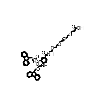 O=C(O)CCOCCOCCOCCOCCNC(=O)c1ccc(NC(=O)OCC2c3ccccc3-c3ccccc32)c(NC(=O)OCC2c3ccccc3-c3ccccc32)c1